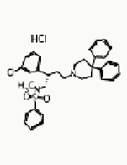 CN(C[C@@H](CCN1CCC(c2ccccc2)(c2ccccc2)CC1)c1cccc(Cl)c1)S(=O)(=O)c1ccccc1.Cl